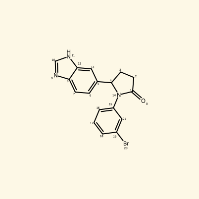 O=C1CCC(c2ccc3n[c][nH]c3c2)N1c1cccc(Br)c1